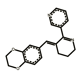 C(=C1/CCCN=C1c1cccnc1)/c1ccc2c(c1)OCCO2